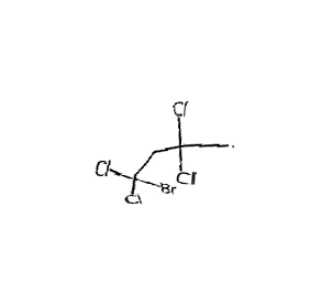 [CH2]C(Cl)(Cl)CC(Cl)(Cl)Br